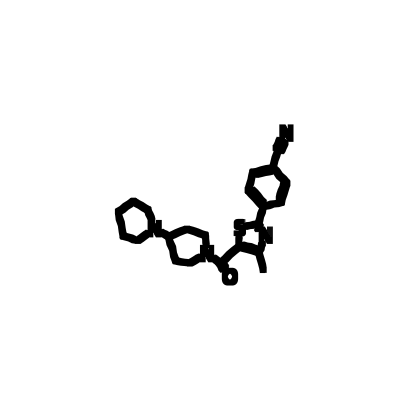 Cc1nc(-c2ccc(C#N)cc2)sc1C(=O)N1CCC(N2CCCCC2)CC1